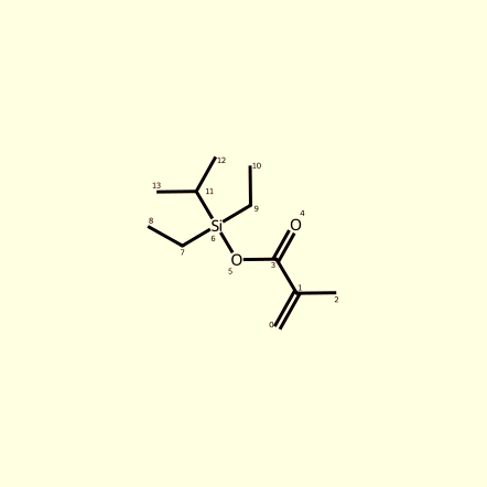 C=C(C)C(=O)O[Si](CC)(CC)C(C)C